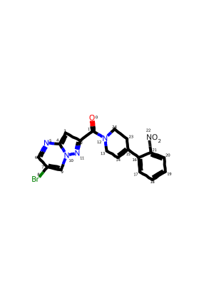 O=C(c1cc2ncc(Br)cn2n1)N1CC=C(c2ccccc2[N+](=O)[O-])CC1